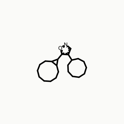 c1noc(C2C3CCCCCCCCC32)c1C1CCCCCCCC1